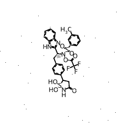 Cc1cccc(S(=O)(=O)N(OC(=O)C(F)(F)F)[C@@H](Cc2ccc(C3CC(=O)NS3(O)O)cc2)c2nc3ccccc3[nH]2)c1